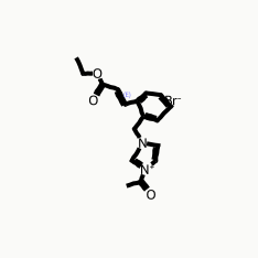 CCOC(=O)/C=C/c1ccccc1Cn1cc[n+](C(C)=O)c1.[Br-]